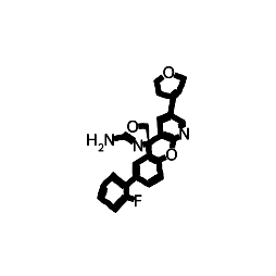 NC1=N[C@@]2(CO1)c1cc(-c3ccccc3F)ccc1Oc1ncc(C3=CCOCC3)cc12